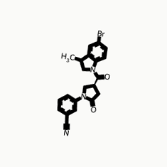 CC1CN(C(=O)[C@H]2CC(=O)N(c3cccc(C#N)c3)C2)c2ccc(Br)cc21